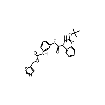 CC(C)(C)OC(=O)N[C@H](C(=O)Nc1cccc(NC(=O)OCc2cncs2)c1)c1ccccc1